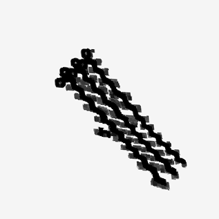 CCCCCCCCCCCCCCCCCCCCCC(=O)[O-].CCCCCCCCCCCCCCCCCCCCCC(=O)[O-].CCCCCCCCCCCCCCCCCCCCCC(=O)[O-].[In+3]